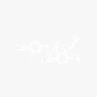 COc1ccc(CNC(=O)c2c(OC)ccc(N)c2NCC2CC2)cc1F